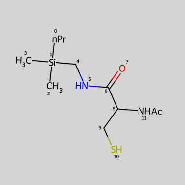 CCC[Si](C)(C)CNC(=O)C(CS)NC(C)=O